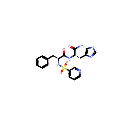 NC(=O)[C@H](Cc1c[nH]cn1)NC(=O)[C@H](Cc1ccccc1)NS(=O)(=O)c1cccnc1